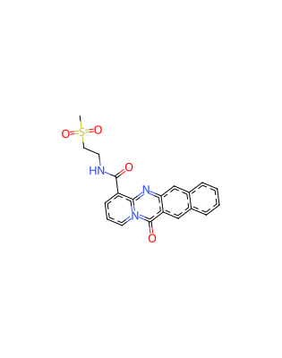 CS(=O)(=O)CCNC(=O)c1cccn2c(=O)c3cc4ccccc4cc3nc12